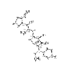 CC[C@@H](c1ccc(F)cc1)N1C(=O)[C@@H]2CC1CN2CC(N)C(=O)N1CCCC1C#N